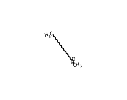 CCCCCCCCCC=CC=CCC=CCCCC(=O)OCC